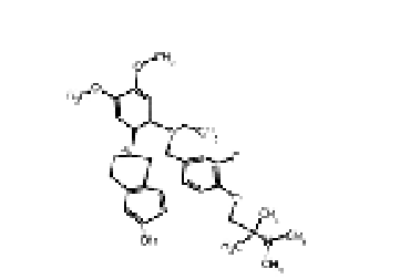 CCN(Cc1ccc(OCC(C)(C)N(C)C)c(F)c1)C1C=C(OC)C(OC)=CC1[C@@H]1CCc2cc(O)ccc2C1